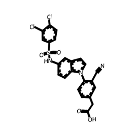 N#Cc1cc(CC(=O)O)ccc1-n1ccc2cc(NS(=O)(=O)c3ccc(Cl)c(Cl)c3)ccc21